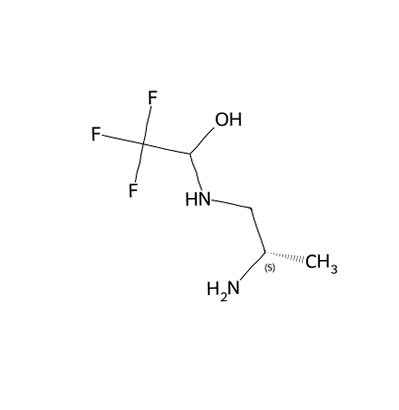 C[C@H](N)CNC(O)C(F)(F)F